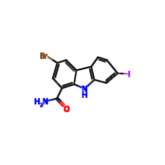 NC(=O)c1cc(Br)cc2c1[nH]c1cc(I)ccc12